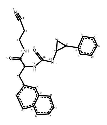 N#CCCNC(=O)C(Cc1ccc2ccccc2c1)NC(=O)NC1CC1c1ccccc1